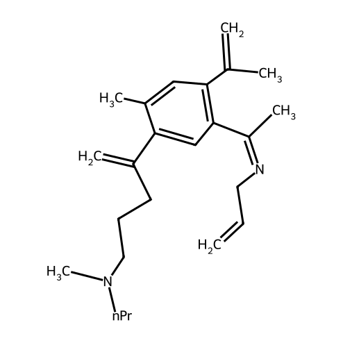 C=CC/N=C(/C)c1cc(C(=C)CCCN(C)CCC)c(C)cc1C(=C)C